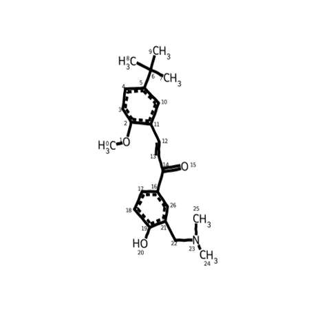 COc1ccc(C(C)(C)C)cc1C=CC(=O)c1ccc(O)c(CN(C)C)c1